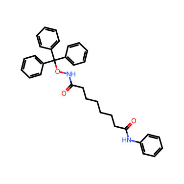 O=C(CCCCCCC(=O)Nc1ccccc1)NOC(c1ccccc1)(c1ccccc1)c1ccccc1